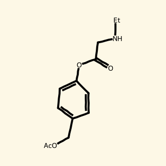 CCNCC(=O)Oc1ccc(COC(C)=O)cc1